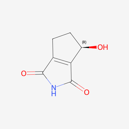 O=C1NC(=O)C2=C1CC[C@H]2O